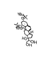 CC(C)(C)[Si](C)(C)O[C@@H]1CC2=CC=C3[C@H](CC[C@@]4(C)[C@H]3CC[C@]4(O)[C@@H](O)CO)[C@@]2(C)[C@@H](O[Si](C)(C)C(C)(C)C)C1